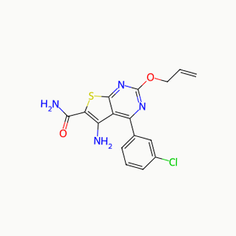 C=CCOc1nc(-c2cccc(Cl)c2)c2c(N)c(C(N)=O)sc2n1